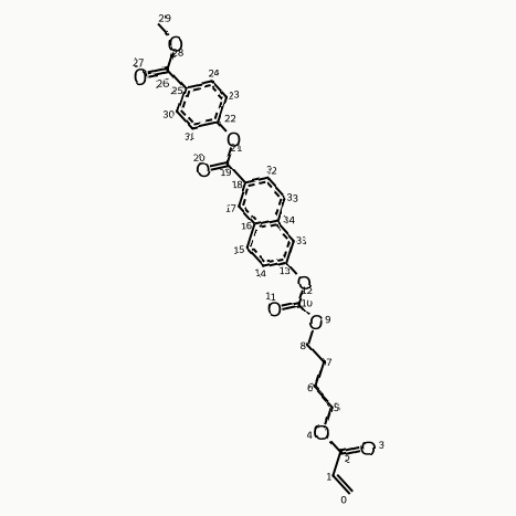 C=CC(=O)OCCCCOC(=O)Oc1ccc2cc(C(=O)Oc3ccc(C(=O)OC)cc3)ccc2c1